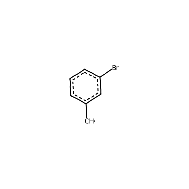 [CH]c1cccc(Br)c1